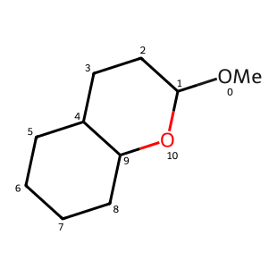 COC1CCC2CCCCC2O1